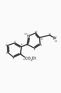 CCOC(=O)c1ccccc1-c1ccc(CBr)cn1